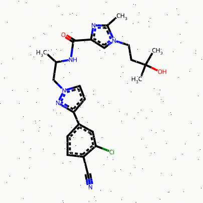 Cc1nc(C(=O)NC(C)Cn2ccc(-c3ccc(C#N)c(Cl)c3)n2)cn1CCC(C)(C)O